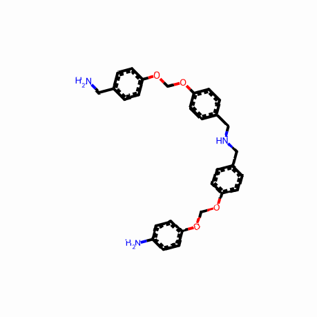 NCc1ccc(OCOc2ccc(CNCc3ccc(OCOc4ccc(N)cc4)cc3)cc2)cc1